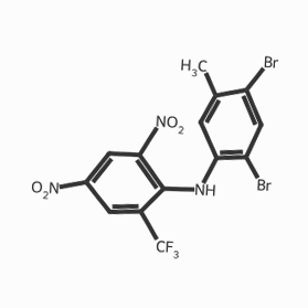 Cc1cc(Nc2c([N+](=O)[O-])cc([N+](=O)[O-])cc2C(F)(F)F)c(Br)cc1Br